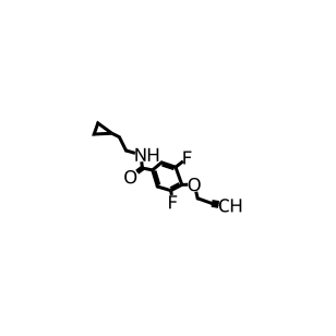 C#CCOc1c(F)cc(C(=O)NCCC2CC2)cc1F